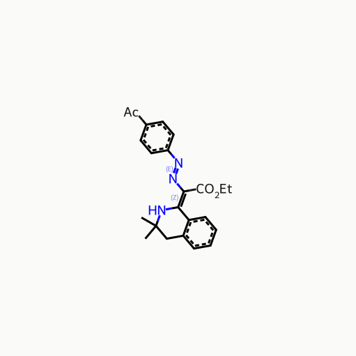 CCOC(=O)C(/N=N/c1ccc(C(C)=O)cc1)=C1/NC(C)(C)Cc2ccccc21